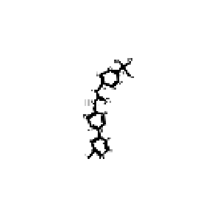 Cc1cc(-c2ccc(NC(=O)Cc3ccc(C(C)(C)C)cc3)cc2)ccn1